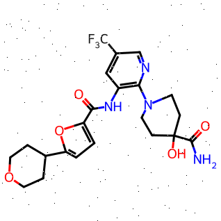 NC(=O)C1(O)CCN(c2ncc(C(F)(F)F)cc2NC(=O)c2ccc(C3CCOCC3)o2)CC1